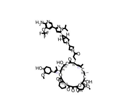 CO[C@H]1C[C@@H](C)[C@@]2(O)O[C@@H]1[C@@H](O)C[C@@H](C)C/C(C)=C/[C@@H](CCC(=O)N1CC(N3C[C@@H]4[C@H](C3)[C@H]4c3cc(-c4cnc(N)c(OC(F)(F)F)c4)nn3C(C)C)C1)C(=O)C[C@H](O)[C@@H](C)[C@@H](/C(C)=C/[C@@H]1CC[C@@H](O)[C@H](OC)C1)OC(=O)[C@@H]1CCCCN1C(=O)C2=O